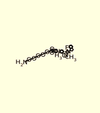 CN(C)[C@H]1CN(C2CCc3cccc(F)c32)C[C@@H]1c1ccc(N2CCN(S(=O)(=O)CCOCCOCCOCCOCCOCCN)CC2)cc1